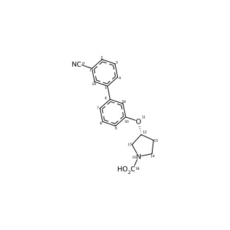 N#Cc1cccc(-c2cccc(O[C@@H]3CCN(C(=O)O)C3)c2)c1